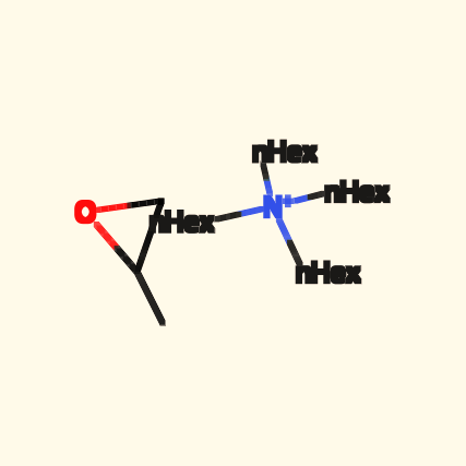 CC1CO1.CCCCCC[N+](CCCCCC)(CCCCCC)CCCCCC